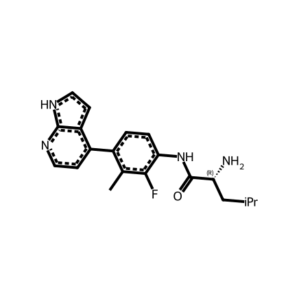 Cc1c(-c2ccnc3[nH]ccc23)ccc(NC(=O)[C@H](N)CC(C)C)c1F